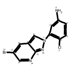 Nc1ccc(Cl)c(-n2cc3cc(Br)cnc3n2)c1